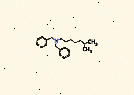 CC(C)CCCCCN(Cc1ccccc1)Cc1ccccc1